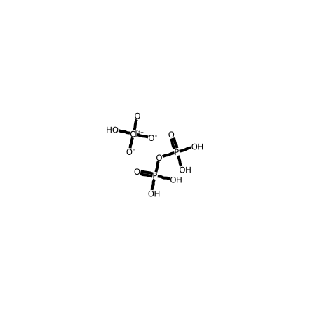 O=P(O)(O)OP(=O)(O)O.[O-][Cl+3]([O-])([O-])O